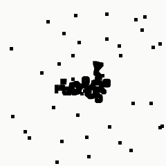 CC1C(=O)N(CCC2CC2)CC2N(C(=O)c3ccc(OC(F)F)cc3)CCC(=O)N12